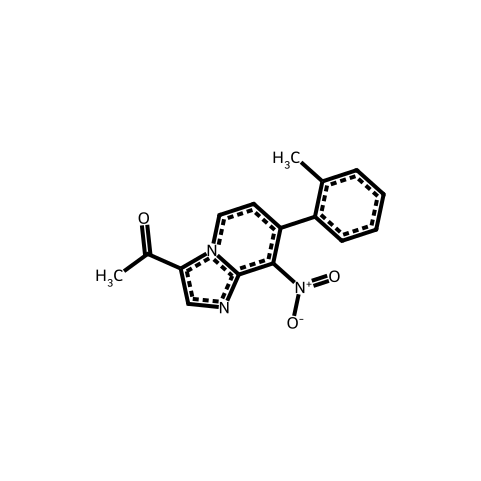 CC(=O)c1cnc2c([N+](=O)[O-])c(-c3ccccc3C)ccn12